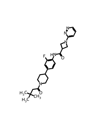 CC(C)(C)CC(=O)N1CCC(c2ccc(NC(=O)C3CN(c4cccnn4)C3)c(F)c2)CC1